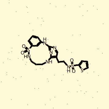 O=S1(=O)NCCCNc2nc(ncc2CCNS(=O)(=O)c2cccs2)Nc2cccc1c2